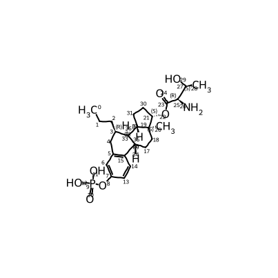 CCC[C@@H]1Cc2cc(OP(=O)(O)O)ccc2[C@H]2CC[C@]3(C)[C@@H](OC(=O)[C@H](N)[C@H](C)O)CC[C@H]3[C@H]12